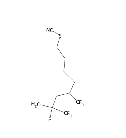 CC(F)(CC(CCCCSC#N)C(F)(F)F)C(F)(F)F